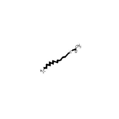 C=CC=CCCCCCCCCCCCCC(C)=O